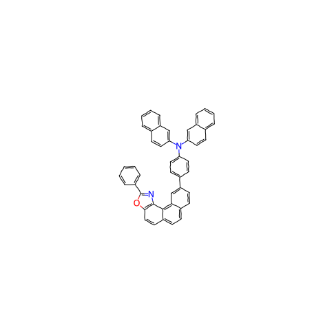 c1ccc(-c2nc3c(ccc4ccc5ccc(-c6ccc(N(c7ccc8ccccc8c7)c7ccc8ccccc8c7)cc6)cc5c43)o2)cc1